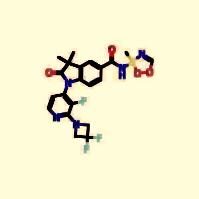 CC1(C)C(=O)N(c2ccnc(N3CC(F)(F)C3)c2F)c2ccc(C(=O)NS3(C)N=COO3)cc21